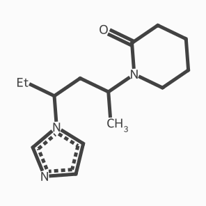 CCC(CC(C)N1CCCCC1=O)n1ccnc1